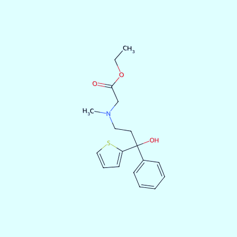 CCOC(=O)CN(C)CCC(O)(c1ccccc1)c1cccs1